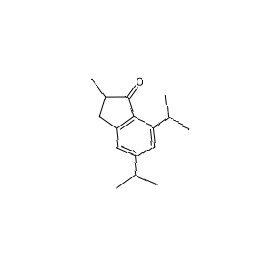 CC1Cc2cc(C(C)C)cc(C(C)C)c2C1=O